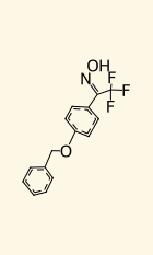 ON=C(c1ccc(OCc2ccccc2)cc1)C(F)(F)F